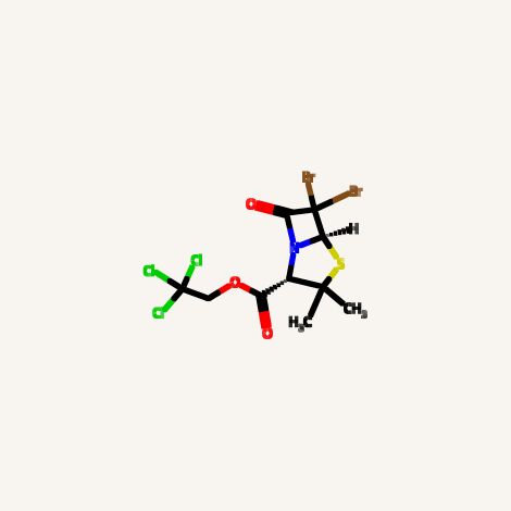 CC1(C)S[C@H]2N(C(=O)C2(Br)Br)[C@H]1C(=O)OCC(Cl)(Cl)Cl